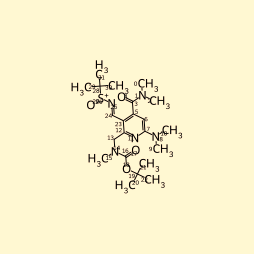 CN(C)C(=O)c1cc(N(C)C)nc(CN(C)C(=O)OC(C)(C)C)c1/C=N/[S@+]([O-])C(C)(C)C